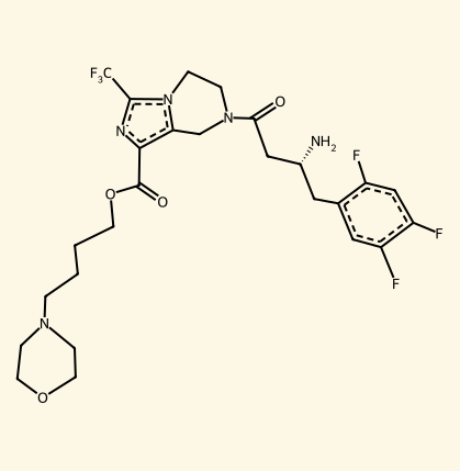 N[C@@H](CC(=O)N1CCn2c(C(F)(F)F)nc(C(=O)OCCCCN3CCOCC3)c2C1)Cc1cc(F)c(F)cc1F